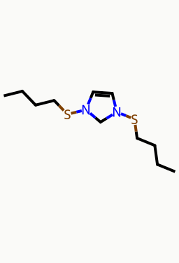 CCCCSN1C=CN(SCCCC)C1